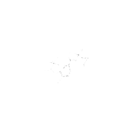 C[C@H](Oc1cc(C(=O)NC(C)(N)C2CC2)ncc1Br)C(F)(F)F